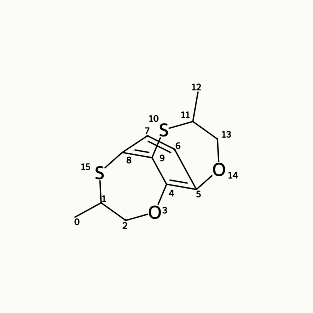 CC1COc2c3ccc(c2SC(C)CO3)S1